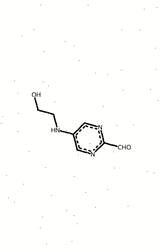 O=Cc1ncc(NCCO)cn1